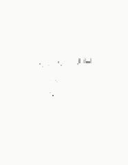 Cl.Cl.[NaH].[NaH].[NaH].[NaH].[NaH]